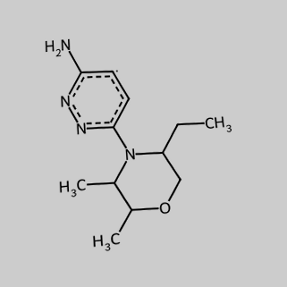 CCC1COC(C)C(C)N1c1c[c]c(N)nn1